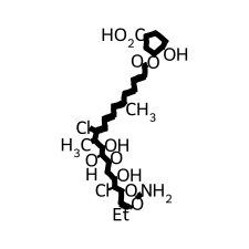 CC/C=C/[C@@H](OC(N)=O)[C@@H](Cl)[C@H](O)CC(=O)[C@@H](O)[C@H](O)C(C)/C(Cl)=C/C=C/C=C(C)/C=C/C=C/C(=O)O[C@@H]1C[C@@H](C(=O)O)CC[C@@H]1O